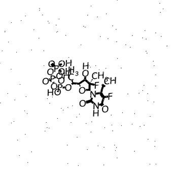 C#Cc1c(F)c(=O)[nH]c(=O)n1[C@@H]1O[C@H]([C@H](C)OP(=O)(O)OP(=O)(O)OP(=O)(O)O)C(O)[C@@]1(C)F